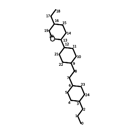 CCCC1CCC(CCC2CCC(C3CCC(CC)CO3)CC2)CC1